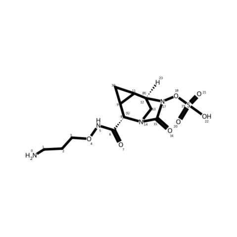 NCCCONC(=O)[C@@H]1C2CC2[C@@H]2CN1C(=O)N2OS(=O)(=O)O